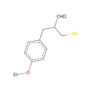 CCOc1ccc(CC(C=O)CS)cc1